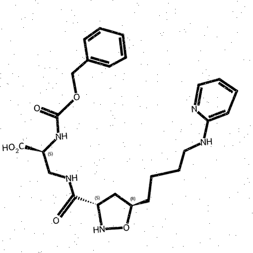 O=C(N[C@@H](CNC(=O)[C@@H]1C[C@@H](CCCCNc2ccccn2)ON1)C(=O)O)OCc1ccccc1